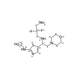 NCC(F)(F)CNC(CN1CCOCC1)c1cnc(NC(=O)O)s1